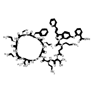 CNC(=O)c1ccccc1Sc1ccc2c(/C=C/c3ccccn3)nn(C(=O)N(CCN)CCC(=O)N[C@H](C(=O)N[C@@H](CCN)C(=O)N[C@H]3CCNC(=O)C([C@@H](C)O)NC(=O)[C@H](CCN)NC(=O)[C@H](CCN)NC(=O)[C@H](CC(C)C)NC(=O)[C@@H](Cc4ccccc4)NC(=O)[C@H](CCN)NC3=O)[C@@H](C)O)c2c1